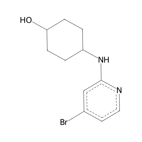 OC1CCC(Nc2cc(Br)ccn2)CC1